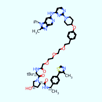 Cc1ncsc1-c1ccc([C@H](C)NC(=O)[C@@H]2C[C@@H](O)CN2C(=O)[C@@H](NC(=O)COCCOCCOCCc2ccc(OC3CCN(c4nccc(Nc5cc6c(cn5)nc(C)n6C(C)C)n4)CC3)cc2)C(C)(C)C)cc1